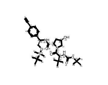 C#Cc1ccc([C@H](CO[Si](C)(C)C(C)(C)C)NC(=O)[C@@H]2C[C@@H](O)CN2C(=O)[C@@H](NC(=O)OC(C)(C)C)C(C)(C)C)cc1